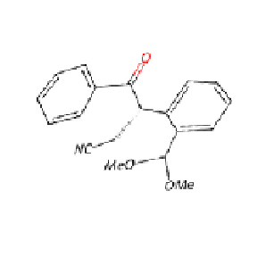 COC(OC)c1ccccc1[C@H](CC#N)C(=O)c1ccccc1